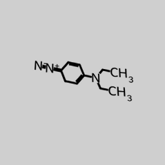 CCN(CC)C1=CCC(=[N+]=[N-])C=C1